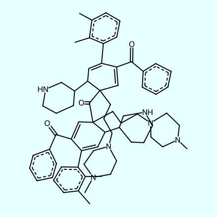 Cc1cccc(C2=CC(C3CCCNC3)C(CCCN3CCN(C)CC3)(C(=O)C3(CCCN4CCN(C)CC4)C=C(C(=O)c4ccccc4)C(c4cccc(C)c4C)=CC3C3CCCNC3)C=C2C(=O)c2ccccc2)c1C